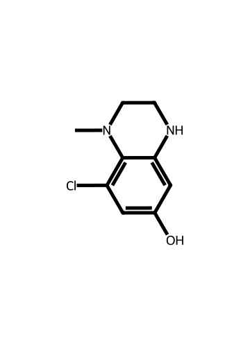 CN1CCNc2cc(O)cc(Cl)c21